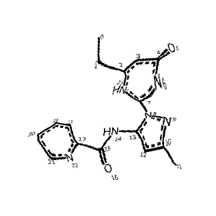 CCc1cc(=O)nc(-n2nc(C)cc2NC(=O)c2ccccn2)[nH]1